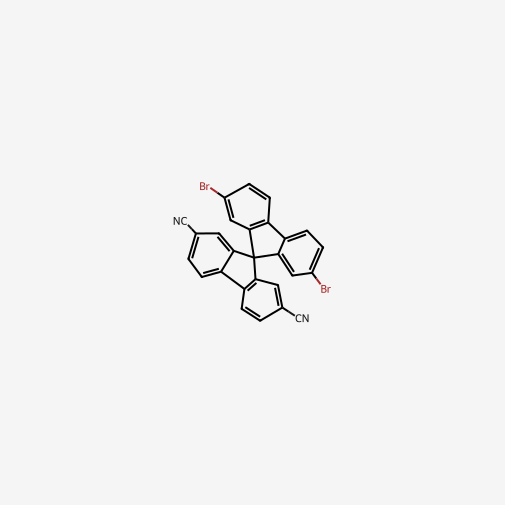 N#Cc1ccc2c(c1)C1(c3cc(Br)ccc3-c3ccc(Br)cc31)c1cc(C#N)ccc1-2